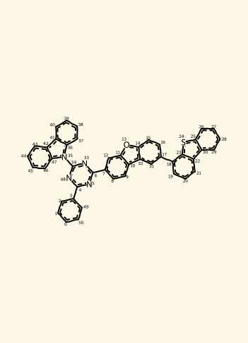 c1ccc(-c2nc(-c3ccc4c(c3)oc3ccc(-c5cccc6c5sc5ccccc56)cc34)nc(-n3c4ccccc4c4ccccc43)n2)cc1